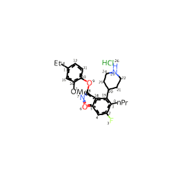 CCCc1c(F)cc2onc(Oc3ccc(CC)cc3OC)c2c1C1CCNCC1.Cl